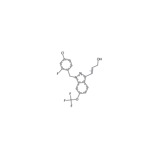 OC/C=C/c1nn(Cc2ccc(Cl)cc2F)c2cc(OC(F)(F)F)ccc12